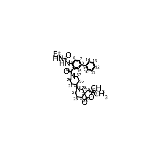 CCNC(=O)Nc1ccc(-c2ccccc2)cc1C(=O)N1CCC(N2CCCC3(C2)CC(C)(C)OC3=O)CC1